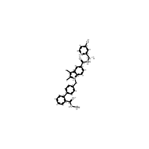 Cc1c(C)n(Cc2ccc(-c3ccccc3C(=O)OC(C)(C)C)cc2)c2ccc(C(=O)N[C@@H](C)c3cc(Cl)ccn3)cc12